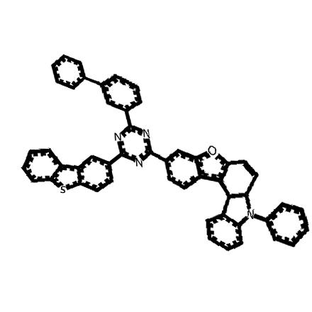 C1=CC2C(c3ccccc3N2c2ccccc2)c2c1oc1cc(-c3nc(-c4cccc(-c5ccccc5)c4)nc(-c4ccc5sc6ccccc6c5c4)n3)ccc21